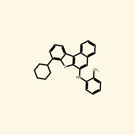 Cc1ccccc1Nc1cc2ccccc2c2c1oc1c(C3CCCCC3)cccc12